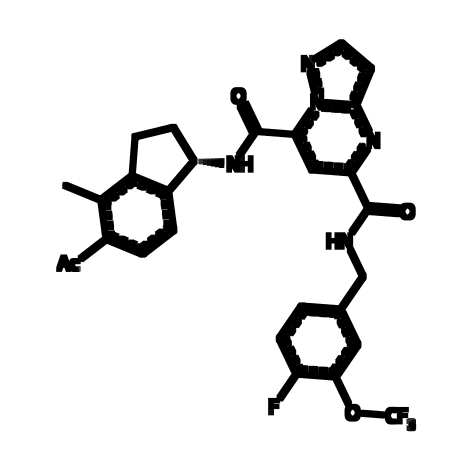 CC(=O)c1ccc2c(c1C)CC[C@@H]2NC(=O)c1cc(C(=O)NCc2ccc(F)c(OC(F)(F)F)c2)nc2ccnn12